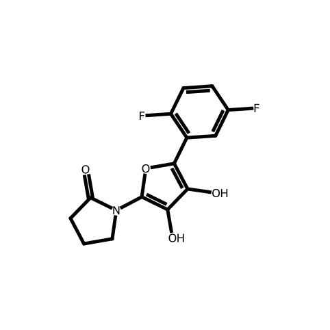 O=C1CCCN1c1oc(-c2cc(F)ccc2F)c(O)c1O